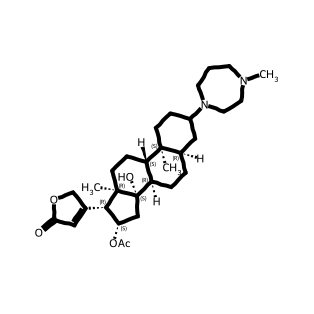 CC(=O)O[C@H]1C[C@]2(O)[C@@H]3CC[C@@H]4CC(N5CCCN(C)CC5)CC[C@]4(C)[C@H]3CC[C@]2(C)[C@H]1C1=CC(=O)OC1